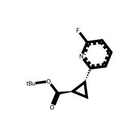 CC(C)(C)OC(=O)[C@@H]1C[C@H]1c1cccc(F)n1